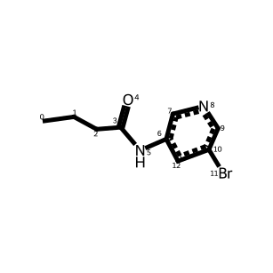 CCCC(=O)Nc1cncc(Br)c1